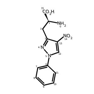 N[C@@H](Cc1nn(-c2ccccc2)cc1[N+](=O)[O-])C(=O)O